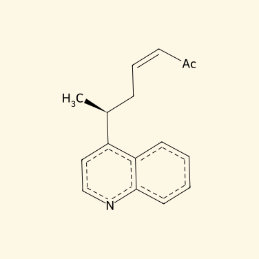 CC(=O)/C=C\C[C@H](C)c1ccnc2ccccc12